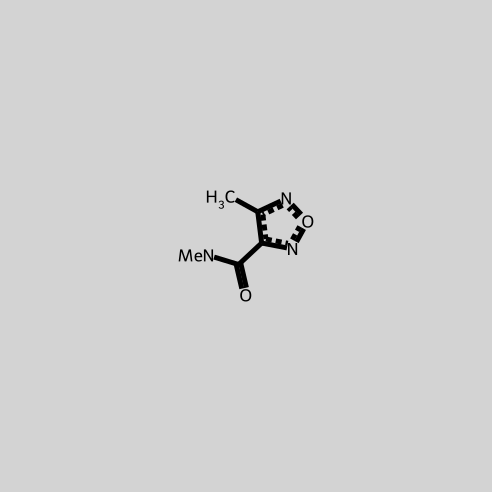 [CH2]NC(=O)c1nonc1C